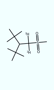 [2H]C([2H])(C(C(C)(C)C)C(C)(C)C)S(C)(=O)=O